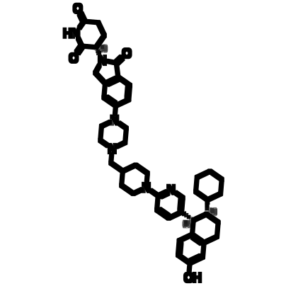 O=C1CC[C@H](N2Cc3cc(N4CCN(CC5CCN(c6ccc([C@H]7c8ccc(O)cc8CC[C@H]7C7CCCCC7)cn6)CC5)CC4)ccc3C2=O)C(=O)N1